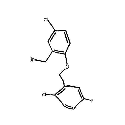 Fc1ccc(Cl)c(COc2ccc(Cl)cc2CBr)c1